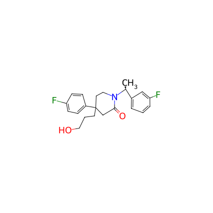 C[C@@H](c1cccc(F)c1)N1CCC(CCCO)(c2ccc(F)cc2)CC1=O